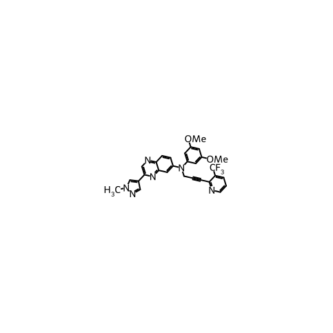 COc1cc(OC)cc(N(CC#Cc2ncccc2C(F)(F)F)c2ccc3ncc(-c4cnn(C)c4)nc3c2)c1